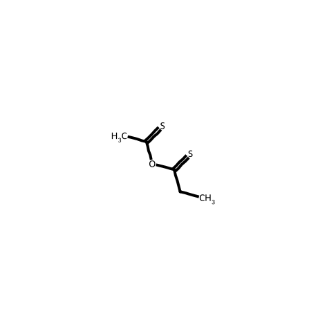 CCC(=S)OC(C)=S